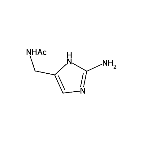 CC(=O)NCc1cnc(N)[nH]1